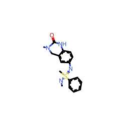 CN=S(C)(=Nc1ccc2c(c1)CN(C)C(=O)N2)c1ccccc1